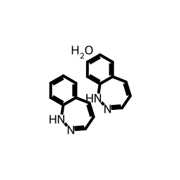 C1=Cc2ccccc2NN=C1.C1=Cc2ccccc2NN=C1.O